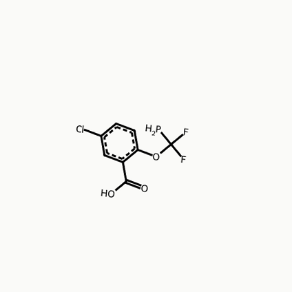 O=C(O)c1cc(Cl)ccc1OC(F)(F)P